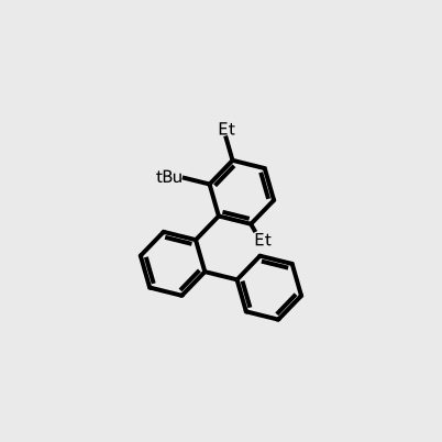 CCc1ccc(CC)c(C(C)(C)C)c1-c1ccccc1-c1ccccc1